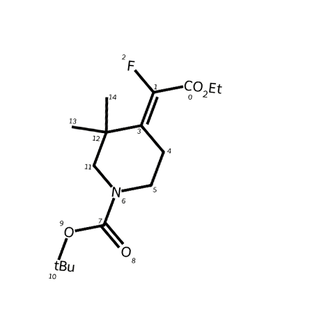 CCOC(=O)/C(F)=C1\CCN(C(=O)OC(C)(C)C)CC1(C)C